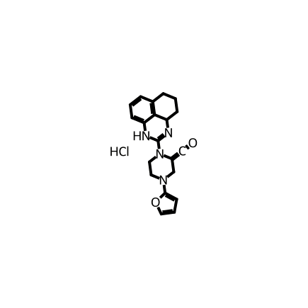 Cl.O=C=C1CN(c2ccco2)CCN1C1=NC2CCCc3cccc(c32)N1